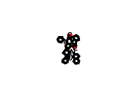 c1ccc(N2c3ccccc3C3(c4ccccc4-c4ccc(N(c5ccc6ccccc6c5)c5cccc6c5oc5ccccc56)cc43)c3ccccc32)cc1